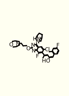 C/C(=C\C(O)=C/c1ccc(F)cc1C)c1c(Cl)cc2c(N3CC4CCC(C3)N4)nc(OCCCN3C4CCC3COC4)nc2c1F